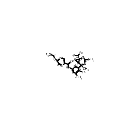 Cc1cc(NC(=O)c2cnc(OCC(F)(F)F)cn2)cc([C@@]2(C)N=C(N)S[C@@]3(C(F)F)C[C@@H]23)c1F